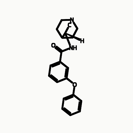 O=C(N[C@H]1CN2CCC1CC2)c1cccc(Oc2ccccc2)c1